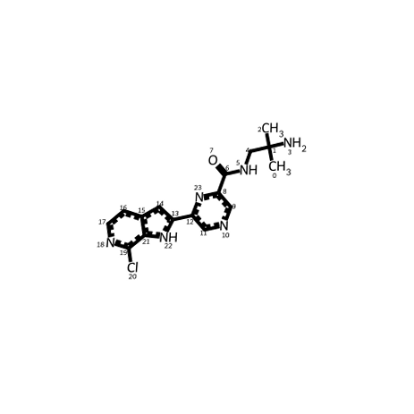 CC(C)(N)CNC(=O)c1cncc(-c2cc3ccnc(Cl)c3[nH]2)n1